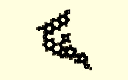 Fc1cc(Cl)ccc1Cc1ncc(F)c(OC2CCN(Cc3nc4cc(-c5nnc(C(F)(F)F)[nH]5)ncc4n3CC3CCO3)CC2)n1